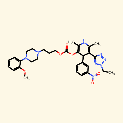 CCn1nnc(C2=C(C)NC(C)=C(OC(=O)OCCCN3CCN(c4ccccc4OC)CC3)C2c2cccc([N+](=O)[O-])c2)n1